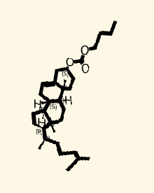 CCCCOC(=O)O[C@H]1CC[C@@]2(C)C(=CC[C@H]3[C@@H]4CC[C@H]([C@H](C)CCCC(C)C)[C@@]4(C)CC[C@@H]32)C1